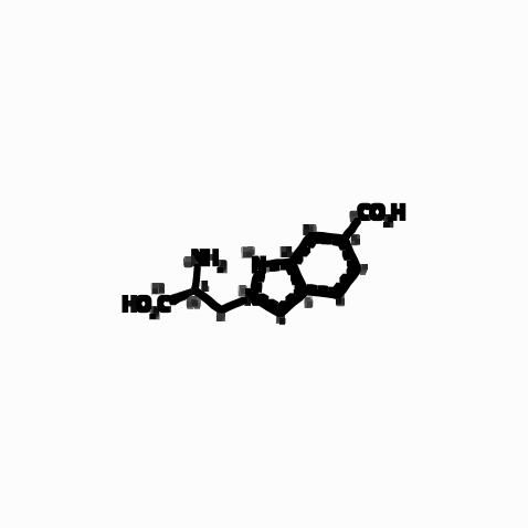 N[C@@H](Cn1cc2ccc(C(=O)O)cc2n1)C(=O)O